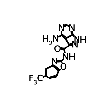 Nc1ncnc2[nH]nc(C(=O)Nc3nc4cc(C(F)(F)F)ccc4o3)c12